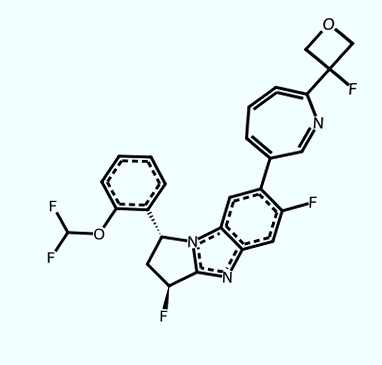 Fc1cc2nc3n(c2cc1C1=CC=C=C(C2(F)COC2)N=C1)[C@@H](c1ccccc1OC(F)F)C[C@@H]3F